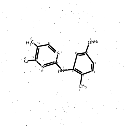 COc1ccc(C)c(Nc2ncc(C)c(Cl)n2)c1